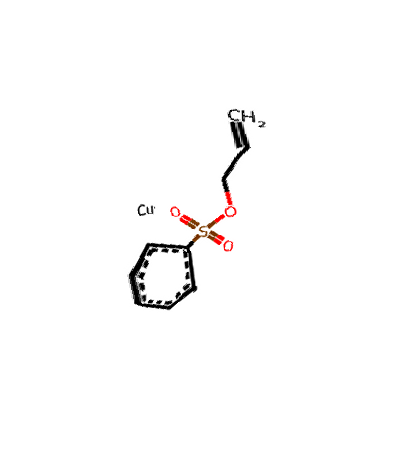 C=CCOS(=O)(=O)c1ccccc1.[Cu]